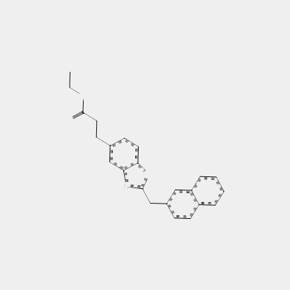 CCOC(=O)CCc1ccc2oc(Cc3ccc4ccccc4c3)nc2c1